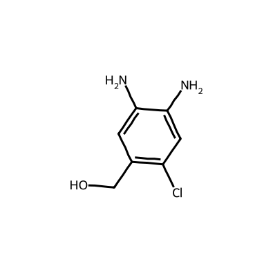 Nc1cc(Cl)c(CO)cc1N